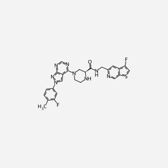 Cc1ccc(-n2cc3c(N4CCN[C@H](C(=O)NCc5cc6c(F)csc6cn5)C4)ncnc3n2)cc1F